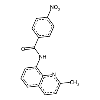 Cc1ccc2cccc(NC(=O)c3ccc([N+](=O)[O-])cc3)c2n1